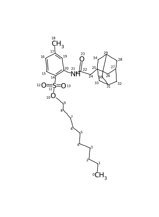 CCCCCCCCCCOS(=O)(=O)c1ccc(C)cc1NC(=O)CC12CC3CC(CC(C3)C1)C2